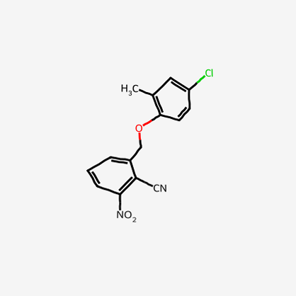 Cc1cc(Cl)ccc1OCc1cccc([N+](=O)[O-])c1C#N